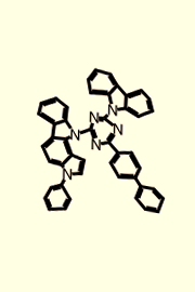 c1ccc(-c2ccc(-c3nc(-n4c5ccccc5c5ccccc54)nc(-n4c5ccccc5c5ccc6c(ccn6-c6ccccc6)c54)n3)cc2)cc1